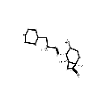 C[C@@]12CC[C@H](O)[C@@H](/C=C/[C@@H](O)CC3CCCCC3)[C@@H]1CC2=O